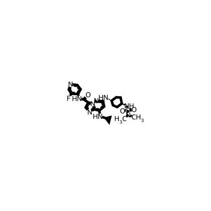 CN(C)S(=O)(=O)N[C@H]1CC[C@H](Nc2cc(NC3CC3)c3ncc(C(=O)Nc4ccncc4F)n3n2)CC1